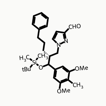 COc1cc(C(O[Si](C)(C)C(C)(C)C)[C@H](CCCc2ccccc2)Cn2ccc(C=O)n2)cc(OC)c1C